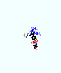 CCc1nc(N)nc(N)c1-c1ccc(S(=O)(=O)N2CC3(COC3)C2)cc1